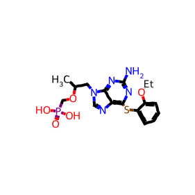 CCOc1ccccc1Sc1nc(N)nc2c1ncn2CC(C)OCP(=O)(O)O